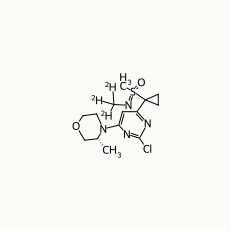 [2H]C([2H])([2H])N=S(C)(=O)C1(c2cc(N3CCOC[C@H]3C)nc(Cl)n2)CC1